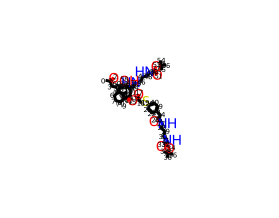 CC(=O)CC[C@]12CC[C@@H](C)[C@](C)([C@@H]1C)[C@H](OC(=O)CSc1ccc(CC(=O)NCCCNC(=O)OC(C)(C)C)cc1)C[C@](C)(CNCCCNC(=O)OC(C)(C)C)[C@@H](O)[C@@H]2C